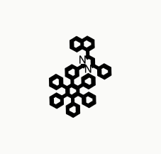 c1ccc(-c2cc(-c3cccc4ccccc34)nc(-c3cccc(-c4c(-c5ccccc5)c(-c5ccccc5)c(-c5ccccc5)c(-c5ccccc5)c4-c4ccccc4)c3)n2)cc1